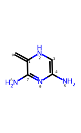 C=C1NC=C(N)N=C1N